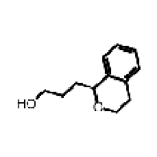 OCCC[C@@H]1OCCc2ccccc21